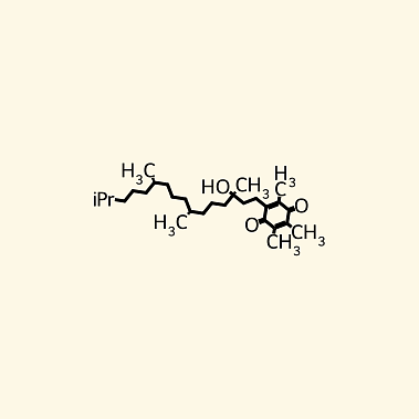 CC1=C(C)C(=O)C(CC[C@@](C)(O)CCC[C@@H](C)CCC[C@H](C)CCCC(C)C)=C(C)C1=O